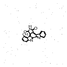 Cc1cccc2nc3c4nc5ccccc5c4c4c(=O)[nH]c(=O)c4c3c12